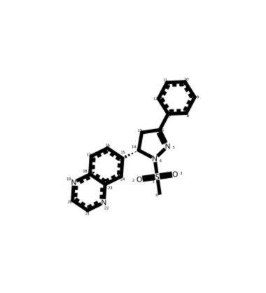 CS(=O)(=O)N1N=C(c2ccccc2)C[C@H]1c1ccc2nccnc2c1